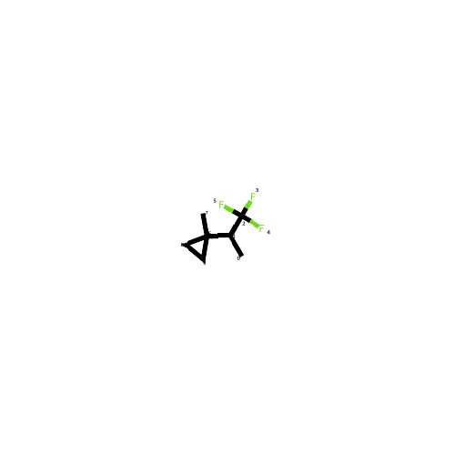 CC(C(F)(F)F)C1(C)CC1